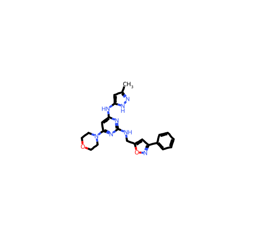 Cc1cc(Nc2cc(N3CCOCC3)nc(NCc3cc(-c4ccccc4)no3)n2)[nH]n1